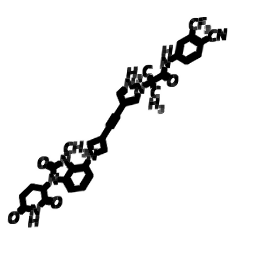 Cn1c(=O)n(C2CCC(=O)NC2=O)c2cccc(N3CC(C#Cc4cnn(C(C)(C)C(=O)Nc5ccc(C#N)c(C(F)(F)F)c5)c4)C3)c21